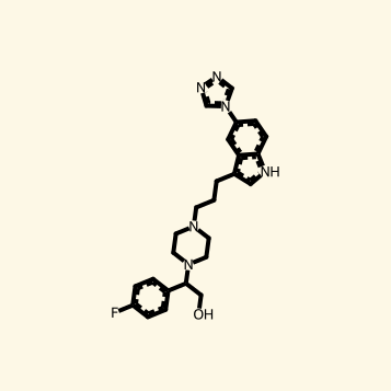 OCC(c1ccc(F)cc1)N1CCN(CCCc2c[nH]c3ccc(-n4cnnc4)cc23)CC1